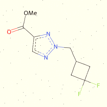 COC(=O)c1cnn(CC2CC(F)(F)C2)n1